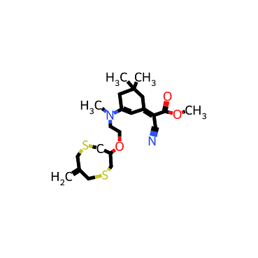 C=C1CSCC(OCCN(C)C2=C/C(=C(\C#N)C(=O)OC)CC(C)(C)C2)CSC1